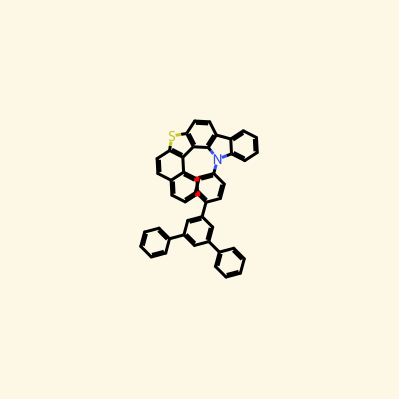 c1ccc(-c2cc(-c3ccccc3)cc(-c3ccc(-n4c5ccccc5c5ccc6sc7ccc8ccccc8c7c6c54)cc3)c2)cc1